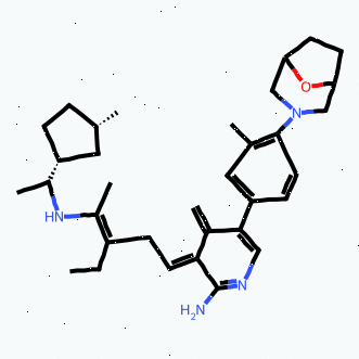 C=c1c(-c2ccc(N3CC4CCC(C3)O4)c(C)c2)cnc(N)/c1=C/C/C(CC)=C(\C)NC(C)[C@@H]1CC[C@H](C)C1